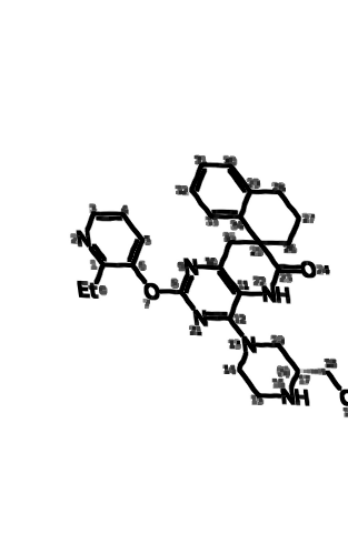 CCc1ncccc1Oc1nc2c(c(N3CCN[C@@H](CC#N)C3)n1)NC(=O)C1(CCCc3ccccc31)C2